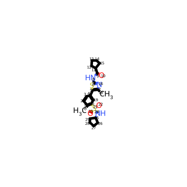 Cc1ccc(-c2sc(NC(=O)C3CCCC3)nc2C)cc1S(=O)(=O)NC1CCCC1